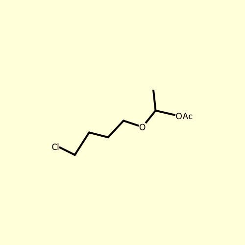 CC(=O)OC(C)OCCCCCl